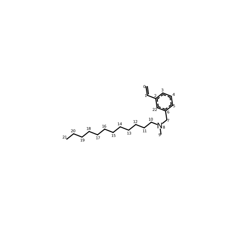 C=Cc1cccc(CN(C)CCCCCCCCCCCC)c1